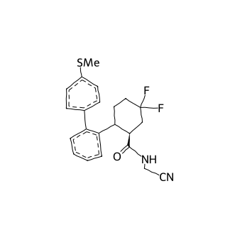 CSc1ccc(-c2ccccc2C2CCC(F)(F)C[C@H]2C(=O)NCC#N)cc1